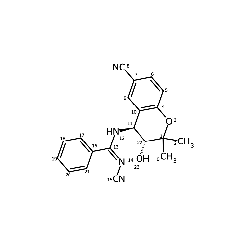 CC1(C)Oc2ccc(C#N)cc2[C@H](NC(=NC#N)c2ccccc2)[C@H]1O